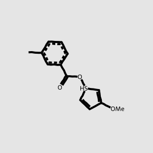 COC1=C[SH](OC(=O)c2cccc(C)c2)C=C1